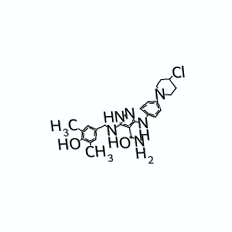 Cc1cc(CNc2[nH]nc(Nc3ccc(N4CCC(Cl)CC4)cc3)c2C(N)=O)cc(C)c1O